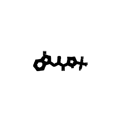 O=C(Cc1c[nH]c2ccccc12)Nc1ncc(C(F)(F)F)s1